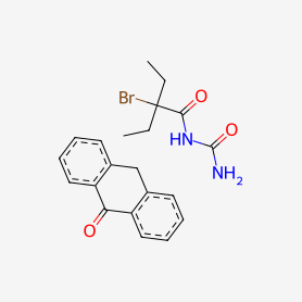 CCC(Br)(CC)C(=O)NC(N)=O.O=C1c2ccccc2Cc2ccccc21